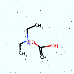 C=C(O)O.CCNCC